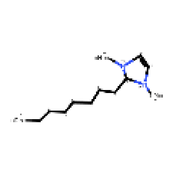 CCCCCCCCCCCCCCCCCC1N(CCCCCCCCC)C=CN1CCCCCCCCC